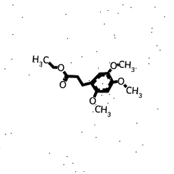 CCOC(=O)CCc1cc(OC)c(OC)cc1OC